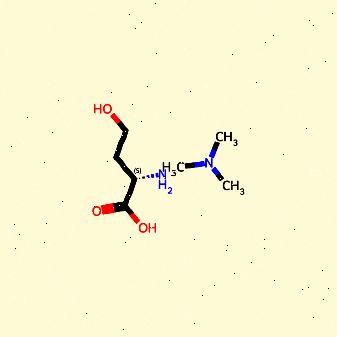 CN(C)C.N[C@@H](CCO)C(=O)O